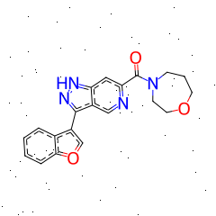 O=C(c1cc2[nH]nc(-c3coc4ccccc34)c2cn1)N1CCCOCC1